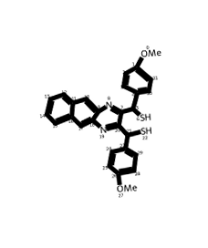 COc1ccc(C(S)c2nc3cc4ccccc4cc3nc2C(S)c2ccc(OC)cc2)cc1